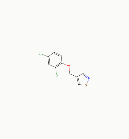 Clc1ccc(OCc2cnsc2)c(Br)c1